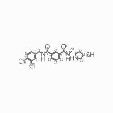 O=C(NCc1ccc(Cl)c(Cl)c1)c1cccc(C(=O)NC[C@@H]2C[C@H](S)CN2)c1